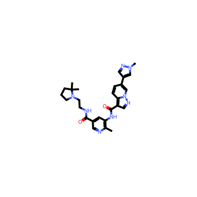 Cc1ncc(C(=O)NCCN2CCCC2(C)C)cc1NC(=O)c1cnn2cc(-c3cnn(C)c3)ccc12